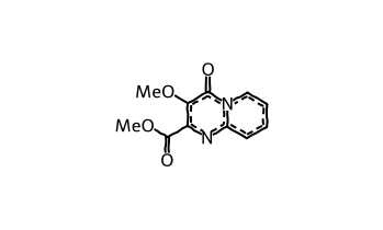 COC(=O)c1nc2ccccn2c(=O)c1OC